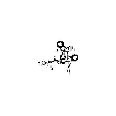 CN1c2ccccc2NC1(C(=O)Nc1ccccc1N(CCCl)CCCl)n1ccc(NC(=O)CC[S+](C)C)c1.[I-]